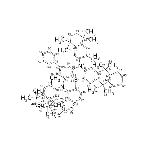 Cc1cc2c(cc1N1c3cc4c(cc3B3c5ccc6oc7ccc(C(C)(C)C)cc7c6c5N(c5cc6c(cc5C)C(C)(C)CCC6(C)C)c5cc(-c6ccccc6)cc1c53)C(C)(C)c1ccccc1C4(C)C)C(C)(C)CCC2(C)C